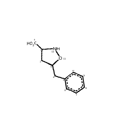 O=C(O)C1CC(Cc2ccccc2)ON1